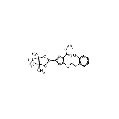 COC(=O)c1sc(B2OC(C)(C)C(C)(C)O2)cc1OCCc1ccccc1Cl